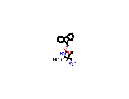 C=CC[C@](C)(C[N+](C)(C)C)[C@@H](NC(=O)OCC1c2ccccc2-c2ccccc21)C(=O)O